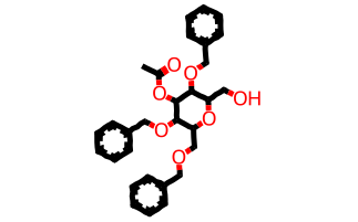 CC(=O)OC1C(OCc2ccccc2)C(CO)OC(COCc2ccccc2)C1OCc1ccccc1